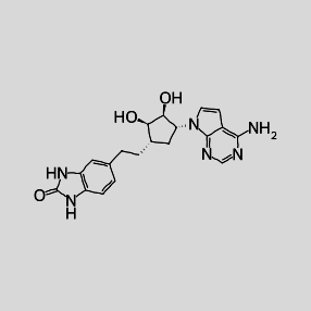 Nc1ncnc2c1ccn2[C@@H]1C[C@H](CCc2ccc3[nH]c(=O)[nH]c3c2)[C@@H](O)[C@H]1O